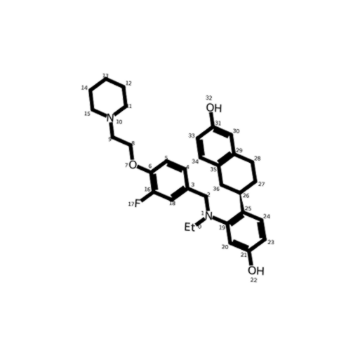 CCN(Cc1ccc(OCCN2CCCCC2)c(F)c1)c1cc(O)ccc1[C@@H]1CCc2cc(O)ccc2C1